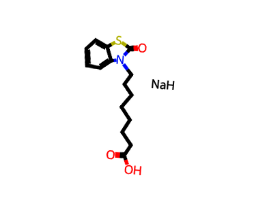 O=C(O)CCCCCCCn1c(=O)sc2ccccc21.[NaH]